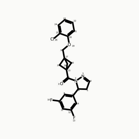 O=C(N1N=CCC1c1cc(F)cc(F)c1)C12CC(COc3ccccc3Cl)(C1)C2